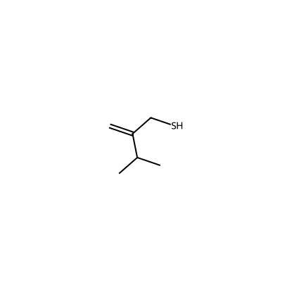 C=C(CS)C(C)C